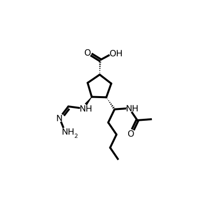 CCCCC(NC(C)=O)[C@H]1C[C@@H](C(=O)O)C[C@@H]1N/C=N\N